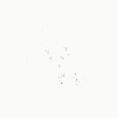 c1ccc(-c2ccc(N(c3ccc4ccccc4c3)c3cc4c(s3)c3cc5c(cc3n4-c3ccccn3)c3sc(N(c4ccccc4)c4ccccc4)cc3n5-c3ccccn3)cc2)cc1